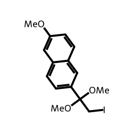 COc1ccc2cc(C(CI)(OC)OC)ccc2c1